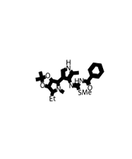 CCC1C2OC(C)(C)OC2C(c2c[nH]c(C)c2/N=C(\NC(=O)c2ccccc2)SC)N1C